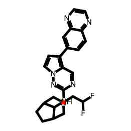 FC(F)CN1CC2CCC(C1)C2Nc1ncc2c(-c3ccc4nccnc4c3)ccn2n1